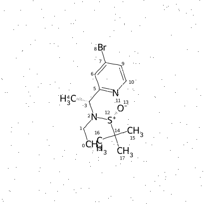 CCN([C@H](C)c1cc(Br)ccn1)[S@+]([O-])C(C)(C)C